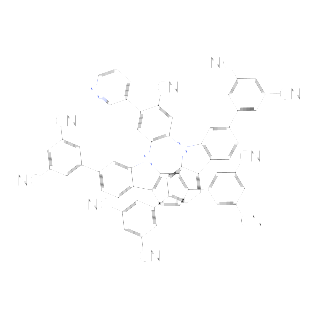 N#Cc1cc(C#N)cc(-c2ccc3c4ccc(-c5cc(C#N)cc(C#N)c5)cc4n(-c4cc(C#N)c(-c5cccnc5)cc4-n4c5cc(-c6cc(C#N)cc(C#N)c6)ccc5c5ccc(-c6cc(C#N)cc(C#N)c6)cc54)c3c2)c1